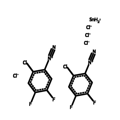 N#[N+]c1cc(F)c(F)cc1Cl.N#[N+]c1cc(F)c(F)cc1Cl.[Cl-].[Cl-].[Cl-].[Cl-].[SnH2]